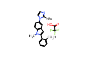 CCCCc1nccn1-c1ccc2c(c1)cc(-c1ccccc1C(=O)O)n2C.O=C(O)C(F)(F)F